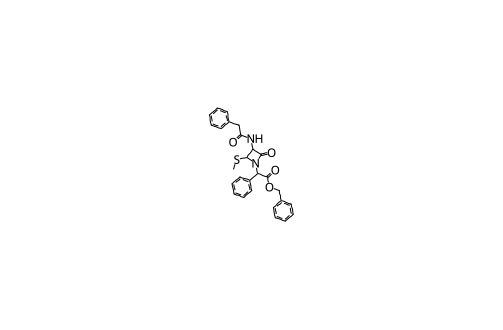 CSC1C(NC(=O)Cc2ccccc2)C(=O)N1C(C(=O)OCc1ccccc1)c1ccccc1